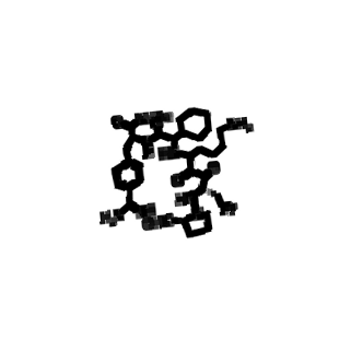 CC(=O)NC(=O)C(Cc1ccc(C(=N)N)cc1)NC(=O)C(NC(CCCCN)C(=O)C(=O)[C@H](CC(C)C)NN1CCC[C@H]1C=O)C1CCCCC1